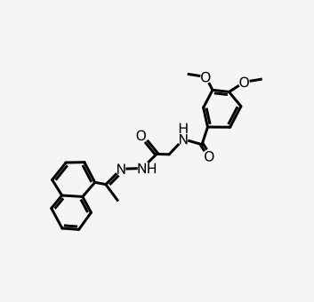 COc1ccc(C(=O)NCC(=O)N/N=C(\C)c2cccc3ccccc23)cc1OC